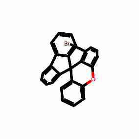 Brc1cccc2c1C1(c3ccccc3O2)c2ccccc2-c2ccccc21